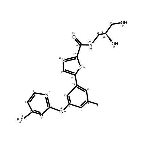 Cc1cc(Nc2nccc(C(F)(F)F)n2)cc(-c2cnc(C(=O)NC[C@H](O)CO)s2)c1